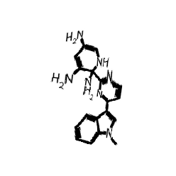 Cn1cc(-c2ccnc(C3(N)NC=C(N)C=C3N)n2)c2ccccc21